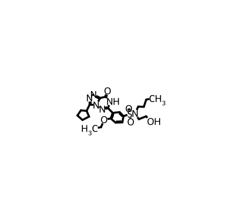 CCCCN(CCO)S(=O)(=O)c1ccc(OCC)c(-c2nn3c(C4CCCC4)nnc3c(=O)[nH]2)c1